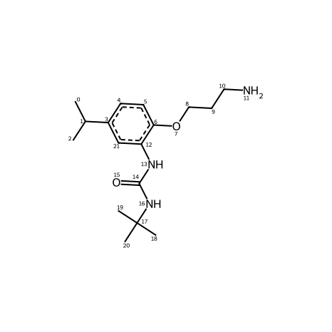 CC(C)c1ccc(OCCCN)c(NC(=O)NC(C)(C)C)c1